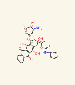 CO[C@@H]1[C@@H](N)C[C@H](O[C@H]2CC(O)([C@@H](C)OC(=O)Nc3ccccc3)Cc3c(O)c4c(c(O)c32)C(=O)c2ccccc2C4=O)O[C@@H]1C